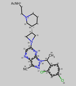 CC(=O)NCCN1CCC[C@H](C2CN(c3cnc4c(C#N)nn(C(C)c5ccc(Cl)cc5Cl)c4n3)C2)C1